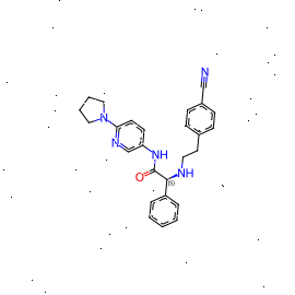 N#Cc1ccc(CCN[C@H](C(=O)Nc2ccc(N3CCCC3)nc2)c2ccccc2)cc1